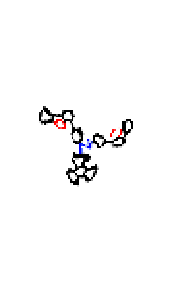 c1ccc2c(c1)oc1c(-c3ccc(N(c4ccc(-c5cccc6c5oc5ccccc56)cc4)c4ccc5c6ccccc6c6ccccc6c5c4)cc3)cccc12